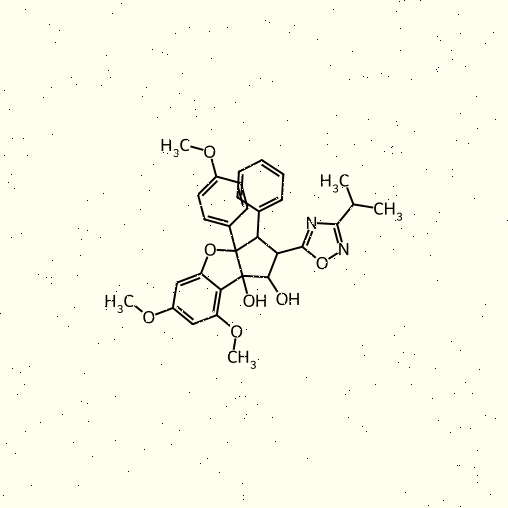 COc1ccc(C23Oc4cc(OC)cc(OC)c4C2(O)C(O)C(c2nc(C(C)C)no2)C3c2ccccc2)cc1